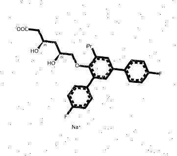 CC(C)c1cc(-c2ccc(F)cc2)cc(-c2ccc(F)cc2)c1OC[C@@H](O)C[C@@H](O)CC(=O)[O-].[Na+]